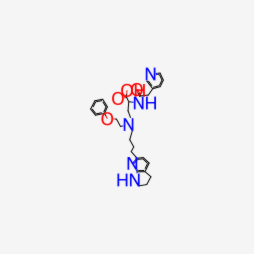 O=C(Cc1cccnc1)NC(CCN(CCCCc1ccc2c(n1)NCCC2)CCOc1ccccc1)C(=O)O